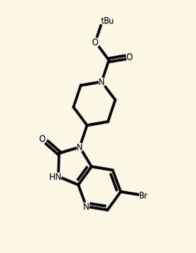 CC(C)(C)OC(=O)N1CCC(n2c(=O)[nH]c3ncc(Br)cc32)CC1